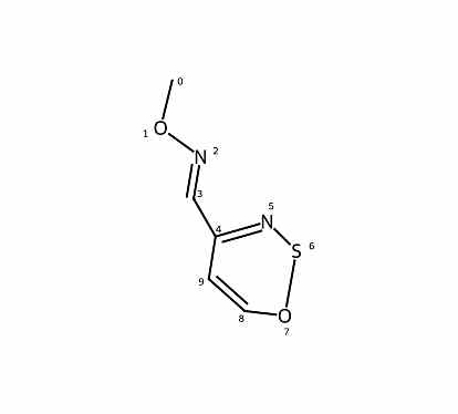 CON=CC1=NSOC=C1